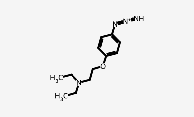 CCN(CC)CCOc1ccc(N=[N+]=N)cc1